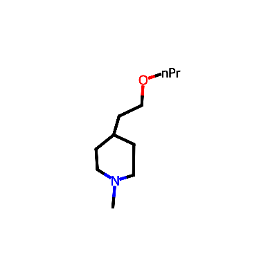 CCCOCCC1CCN(C)CC1